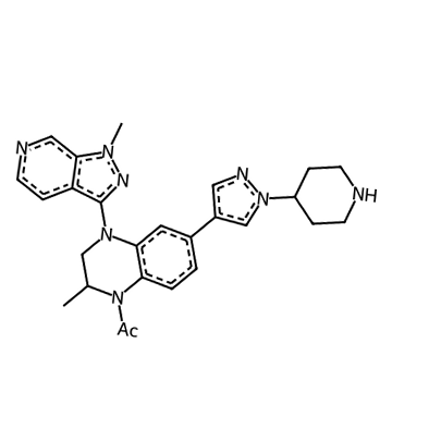 CC(=O)N1c2ccc(-c3cnn(C4CCNCC4)c3)cc2N(c2nn(C)c3cnccc23)CC1C